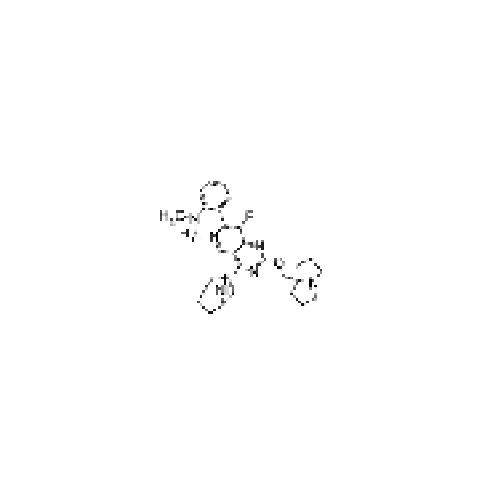 CN(C)c1ccccc1-c1ncc2c(N3CC4CCC(C3)N4)nc(OCC34CCCN3CCC4)nc2c1F